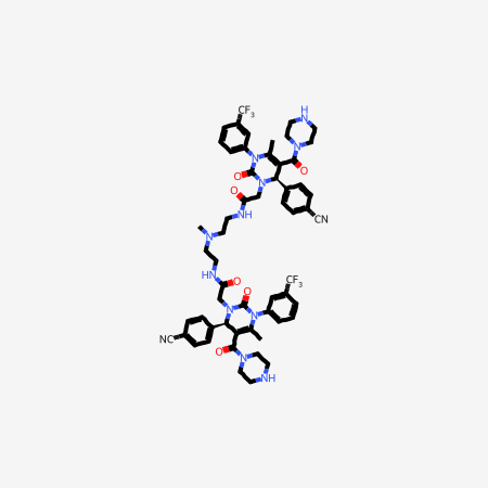 CC1=C(C(=O)N2CCNCC2)[C@@H](c2ccc(C#N)cc2)N(CC(=O)NCCN(C)CCNC(=O)CN2C(=O)N(c3cccc(C(F)(F)F)c3)C(C)=C(C(=O)N3CCNCC3)[C@H]2c2ccc(C#N)cc2)C(=O)N1c1cccc(C(F)(F)F)c1